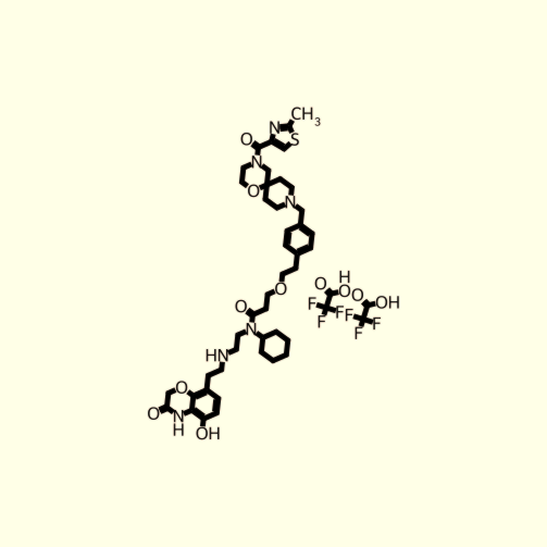 Cc1nc(C(=O)N2CCOC3(CCN(Cc4ccc(CCOCCC(=O)N(CCNCCc5ccc(O)c6c5OCC(=O)N6)C5CCCCC5)cc4)CC3)C2)cs1.O=C(O)C(F)(F)F.O=C(O)C(F)(F)F